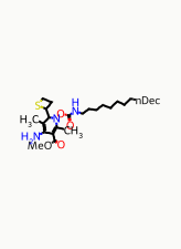 CCCCCCCCCCCCCCCCCCNC(=O)ON1C(C)=C(C(=O)OC)C(N)=C(C)C1C1CCS1